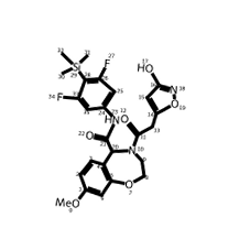 COc1ccc2c(c1)OCCN(C(=O)Cc1cc(O)no1)C2C(=O)Nc1cc(F)c([Si](C)(C)C)c(F)c1